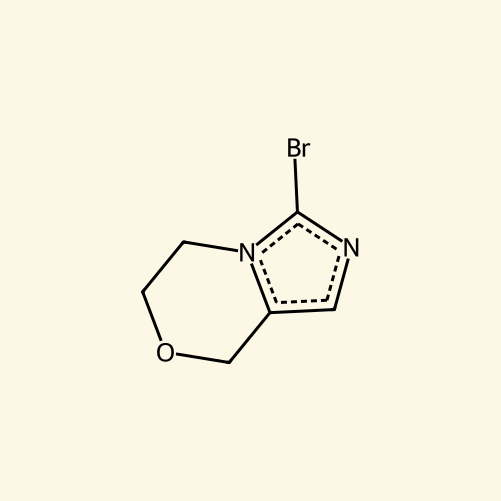 Brc1ncc2n1CCOC2